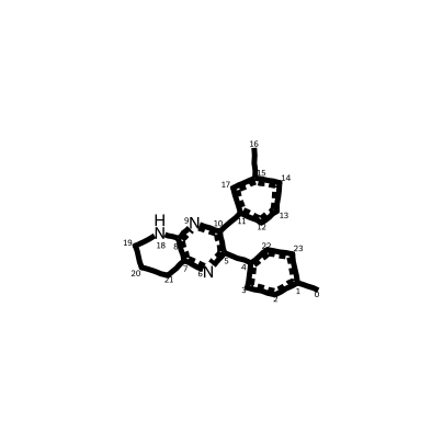 Cc1ccc(-c2nc3c(nc2-c2cccc(C)c2)NCCC3)cc1